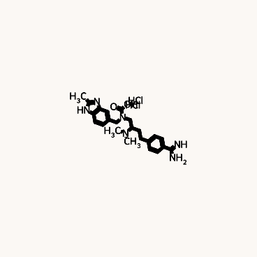 Cc1nc2cc(CN(CC(CCc3ccc(C(=N)N)cc3)N(C)C)C(=O)O)ccc2[nH]1.Cl.Cl